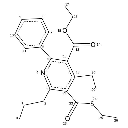 CCCc1nc(-c2ccccc2)c(C(=O)OCC)c(CC)c1C(=O)SCC